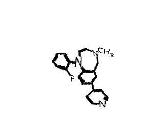 CN1CCN(c2ccccc2F)c2ccc(-c3ccncc3)cc2C1